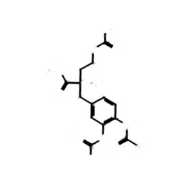 CCC(C)C(=O)OCC[C@@](N)(Cc1ccc(OC(=O)C(C)C)c(OC(=O)C(C)C)c1)C(=O)OC